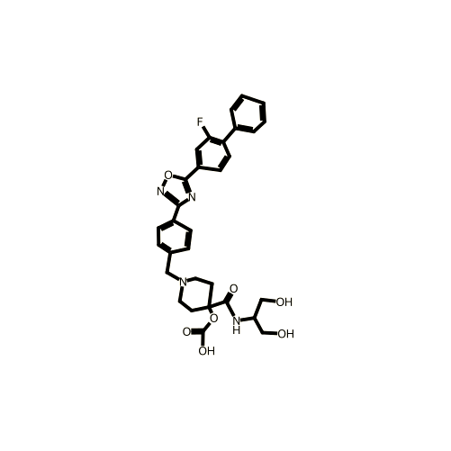 O=C(O)OC1(C(=O)NC(CO)CO)CCN(Cc2ccc(-c3noc(-c4ccc(-c5ccccc5)c(F)c4)n3)cc2)CC1